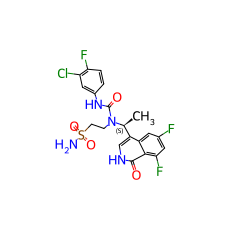 C[C@@H](c1c[nH]c(=O)c2c(F)cc(F)cc12)N(CCS(N)(=O)=O)C(=O)Nc1ccc(F)c(Cl)c1